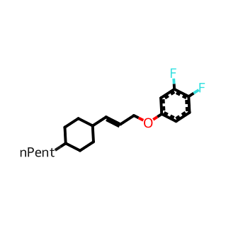 CCCCCC1CCC(/C=C/COc2ccc(F)c(F)c2)CC1